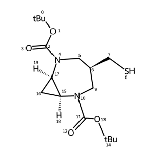 CC(C)(C)OC(=O)N1C[C@@H](CS)CN(C(=O)OC(C)(C)C)[C@H]2C[C@H]21